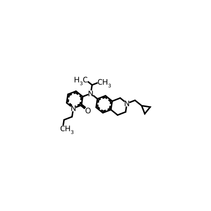 CCCn1cccc(N(c2ccc3c(c2)CN(CC2CC2)CC3)C(C)C)c1=O